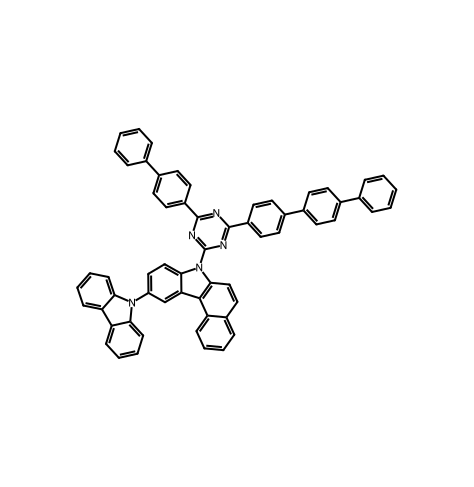 c1ccc(-c2ccc(-c3ccc(-c4nc(-c5ccc(-c6ccccc6)cc5)nc(-n5c6ccc(-n7c8ccccc8c8ccccc87)cc6c6c7ccccc7ccc65)n4)cc3)cc2)cc1